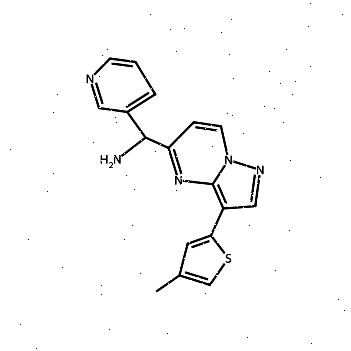 Cc1csc(-c2cnn3ccc(C(N)c4cccnc4)nc23)c1